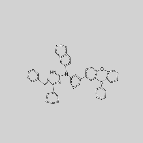 N=C(/N=C(\N=C\c1ccccc1)c1ccccc1)N(c1cccc(-c2ccc3c(c2)N(c2ccccc2)c2ccccc2O3)c1)c1ccc2ccccc2c1